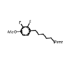 CCCC(C)CCCCCc1ccc(OC)c(F)c1F